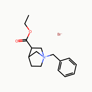 CCOC(=O)C1C[N+]2(Cc3ccccc3)CCC1C2.[Br-]